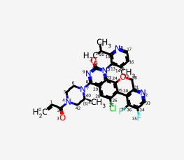 C=CC(=O)N1CCN(c2nc(=O)n(-c3c(C)ccnc3C(C)C)c3c4c(c(Cl)cc23)-c2c(ncc(F)c2F)CO4)[C@@H](C)C1